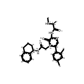 CN[C@@H](C)C(=O)Nc1ncc(-c2ccc(C)cc2C)n(CC(=O)N[C@@H]2CCCc3ccccc32)c1=O